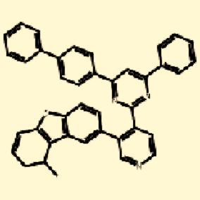 CC1CC=Cc2sc3ccc(-c4cnccc4-c4nc(-c5ccccc5)cc(-c5ccc(-c6ccccc6)cc5)n4)cc3c21